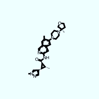 Cc1cc2cnc(NC(=O)[C@H]3[C@H](C)[C@@H]3c3cnn(C)c3)cc2cc1N1CCN([C@]2(C)CCOC2)CC1